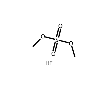 COS(=O)(=O)OC.F